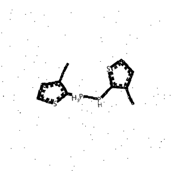 Cc1ccsc1P[PH3]c1sccc1C